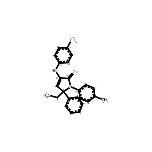 CCC1(c2ccccc2)C=C(Nc2ccc(C)cc2)C(=O)N1c1ccc(C)cc1